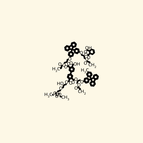 C=CC(=O)OCC(COc1ccc(C2(c3ccc(OCC(COC(=O)C=C)OC(=O)C4CC=CCC4C(=O)O)cc3)c3ccccc3-c3ccccc32)cc1)OC(=O)c1cc(-c2ccc(C(=O)OCC(O)COCCP(=O)(OCC)OCC)c(C(=O)OC(COC(=O)C=C)COc3ccc(C4(c5ccc(C)cc5)c5ccccc5-c5ccccc54)cc3)c2)ccc1C(=O)O